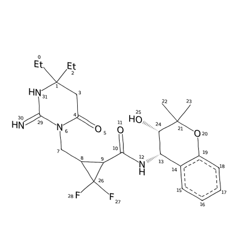 CCC1(CC)CC(=O)N(CC2C(C(=O)N[C@H]3c4ccccc4OC(C)(C)[C@H]3O)C2(F)F)C(=N)N1